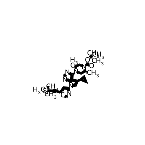 C[C@@H]1CN(c2ncnc3c2c(C2CC2)cn3-c2cc(C#C[Si](C)(C)C)ccn2)[C@@H](C)CN1C(=O)OC(C)(C)C